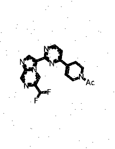 CC(=O)N1CC=C(c2ccnc(-c3cnc4cnc(C(F)F)cn34)n2)CC1